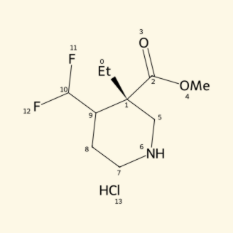 CC[C@@]1(C(=O)OC)CNCCC1C(F)F.Cl